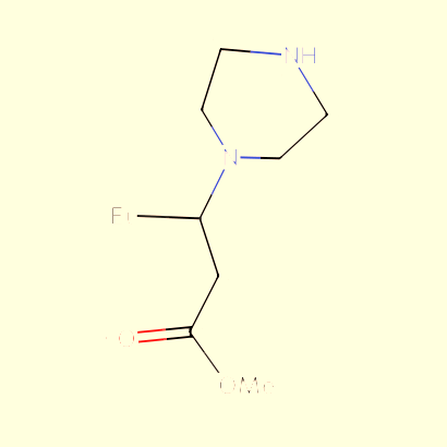 CCC(CC(=O)OC)N1CCNCC1